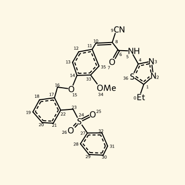 CCc1nnc(NC(=O)C(C#N)=Cc2ccc(OCc3ccccc3CS(=O)(=O)c3ccccc3)c(OC)c2)s1